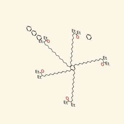 CCC(=O)C(CC)CCCCCCCCCCCCCc1cc(CCCCCCCCCCCCCC(CC)C(=O)CC)c(CCCCCCCCCCCCCC(CC)C(=O)CC)c(CCCCCCCCCCCCCC(CC)C(=O)CC)c1CCCCCCCCCCCCCC(CC)C(=O)CC.c1ccccc1.c1ccccc1.c1ccccc1.c1ccccc1